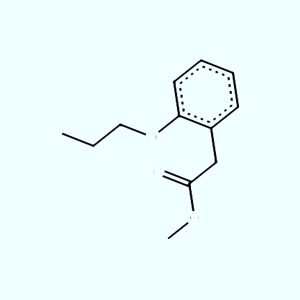 CCCOc1ccccc1CC(=O)OC